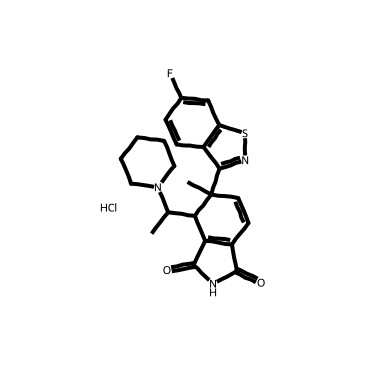 CC(C1C2=C(C=CC1(C)c1nsc3cc(F)ccc13)C(=O)NC2=O)N1CCCCC1.Cl